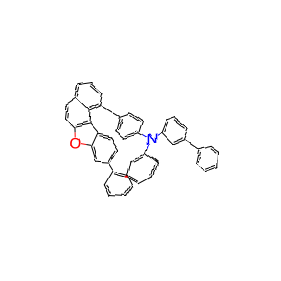 c1ccc(-c2cccc(N(c3ccccc3)c3ccc(-c4cccc5ccc6oc7cc(-c8ccccc8)ccc7c6c45)cc3)c2)cc1